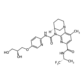 Cc1cc(C(=O)N[C@H](C)C(F)(F)F)nc2c1N1CCC[C@@H](C1)N2C(=O)Nc1ccc(OC[C@@H](O)CO)cn1